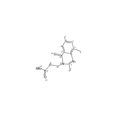 Cc1cc(C)c2nc(C)n(COC(=O)C(C)(C)C)c(=O)c2c1